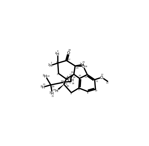 [2H]C1([2H])C[C@@]2(O)[C@H]3Cc4ccc(OC)c5c4[C@@]2(CCN3C([2H])([2H])[2H])C([2H])(O5)C1=O